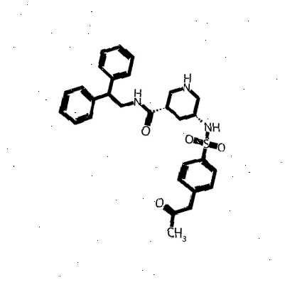 CC(=O)Cc1ccc(S(=O)(=O)N[C@H]2CNC[C@@H](C(=O)NCC(c3ccccc3)c3ccccc3)C2)cc1